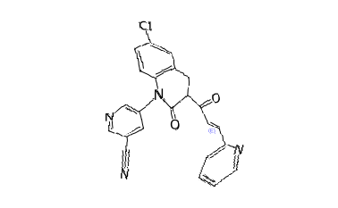 N#Cc1cncc(N2C(=O)C(C(=O)/C=C/c3ccccn3)Cc3cc(Cl)ccc32)c1